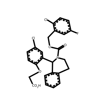 O=C(O)COc1ccc(Cl)cc1C1c2ccccc2CCN1C(=O)OCc1cc(F)ccc1Cl